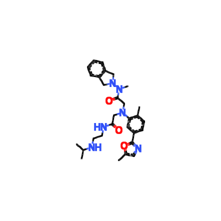 Cc1cnc(-c2ccc(C)c(N(CC(=O)NCCNC(C)C)CC(=O)N(C)N3Cc4ccccc4C3)c2)o1